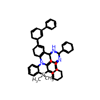 C[Si]1(C)c2ccccc2N(C2=C(C3CC(C4C=CCCC4)=NC(C4=CCCC=C4)N3)C=C(C3C=C(c4ccccc4)C=CC3)CC2)c2ccccc21